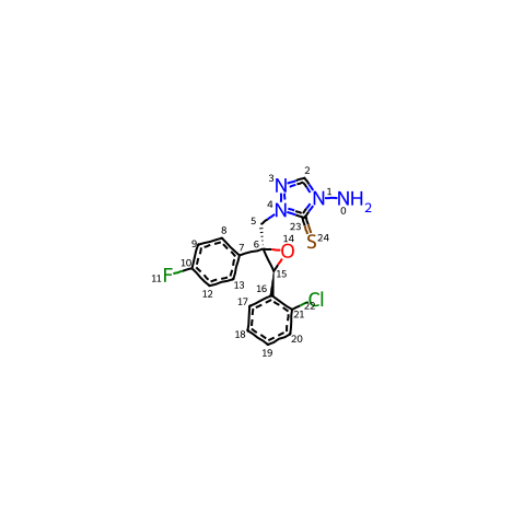 Nn1cnn(C[C@]2(c3ccc(F)cc3)O[C@H]2c2ccccc2Cl)c1=S